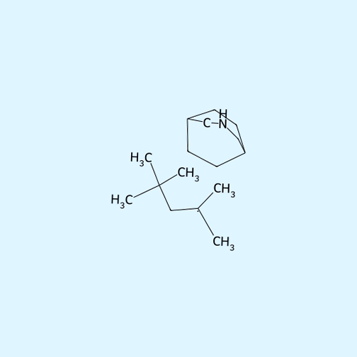 C1CC2CCC1CNC2.C[C](C)CC(C)(C)C